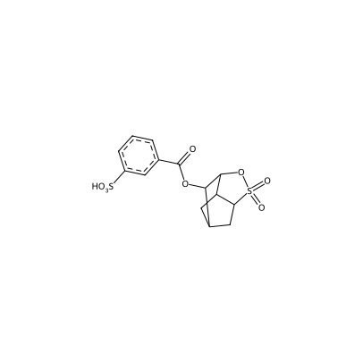 O=C(OC1C2CC3C1OS(=O)(=O)C3C2)c1cccc(S(=O)(=O)O)c1